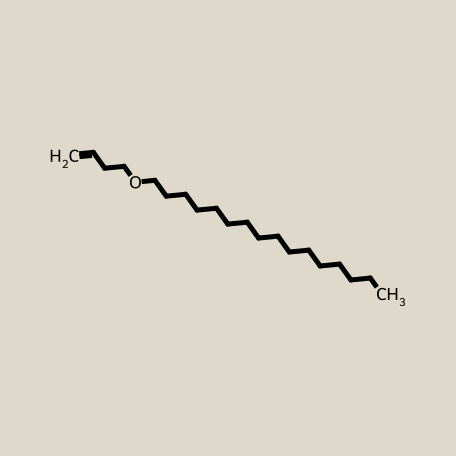 C=CCCOCCCCCCCCCCCCCCCC